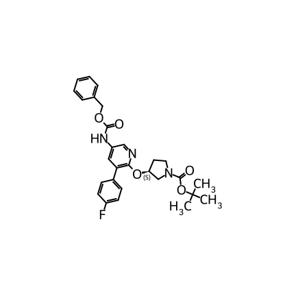 CC(C)(C)OC(=O)N1CC[C@H](Oc2ncc(NC(=O)OCc3ccccc3)cc2-c2ccc(F)cc2)C1